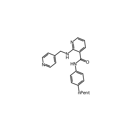 CCCCCc1ccc(NC(=O)c2cccnc2NCc2ccncc2)cc1